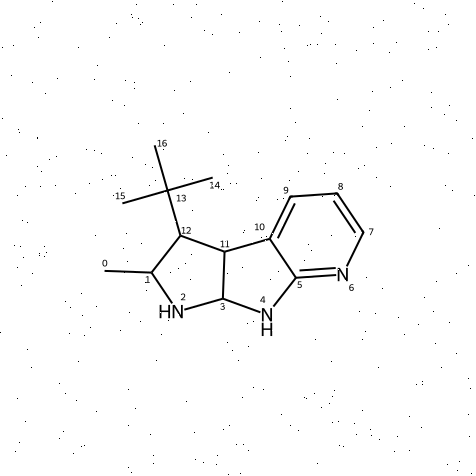 CC1NC2Nc3ncccc3C2C1C(C)(C)C